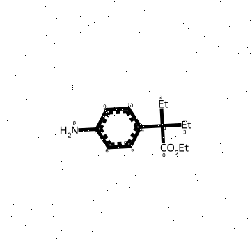 CCOC(=O)C(CC)(CC)c1ccc(N)cc1